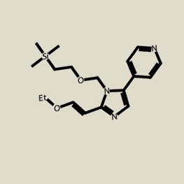 CCOC=Cc1ncc(-c2ccncc2)n1COCC[Si](C)(C)C